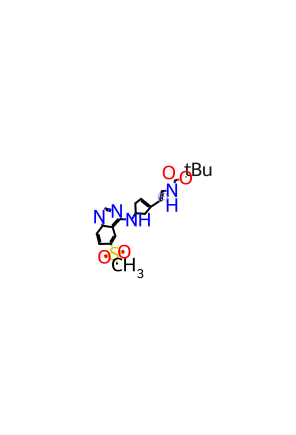 CC(C)(C)OC(=O)N/C=C/C1=CCC(Nc2ncnc3ccc(S(C)(=O)=O)cc23)C1